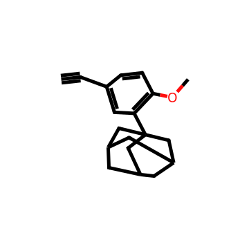 C#Cc1ccc(OC)c(C23CC4CC(CC(C4)C2)C3)c1